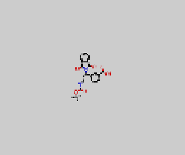 CC(C)(C)OC(=O)NCCC(c1cccc(C(=O)O)c1)N1C(=O)c2ccccc2C1=O